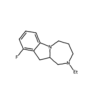 CCN1CCCN2c3cccc(F)c3CC2C1